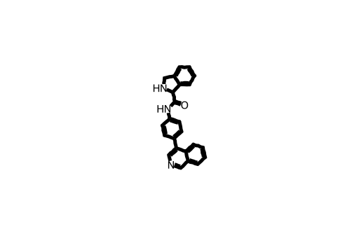 O=C(Nc1ccc(-c2cncc3ccccc23)cc1)C1NCc2ccccc21